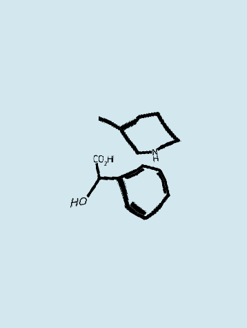 CC1CCCNC1.O=C(O)C(O)c1ccccc1